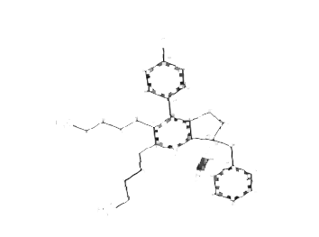 CCCCCc1nc2c(c(-c3ccc(F)cc3)c1CCCCC)CC[C@@]2(C#N)Cc1ccccc1